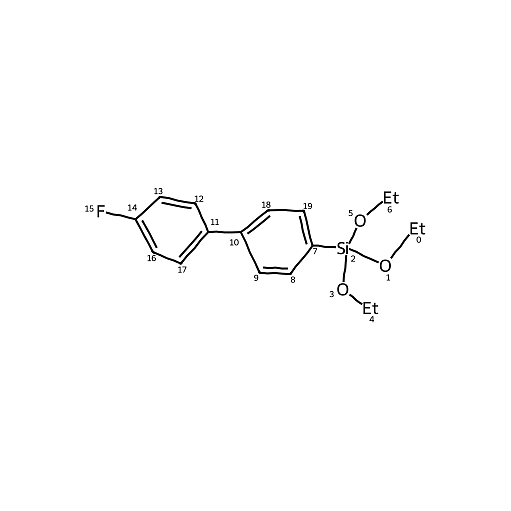 CCO[Si](OCC)(OCC)c1ccc(-c2ccc(F)cc2)cc1